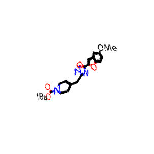 COc1ccc2oc(-c3nc(CC4CCN(C(=O)OC(C)(C)C)CC4)no3)cc2c1